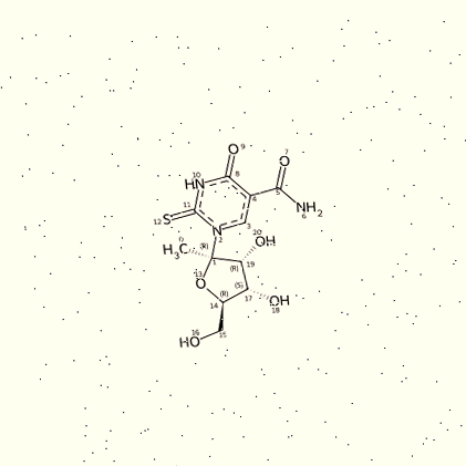 C[C@@]1(n2cc(C(N)=O)c(=O)[nH]c2=S)O[C@H](CO)[C@@H](O)[C@H]1O